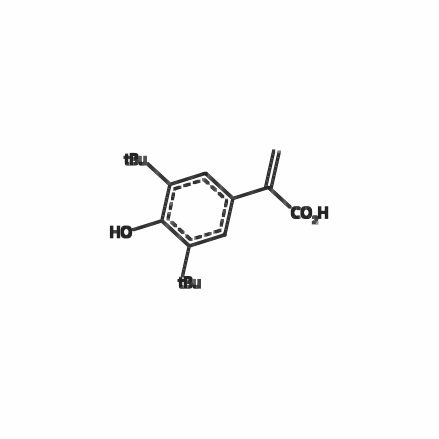 C=C(C(=O)O)c1cc(C(C)(C)C)c(O)c(C(C)(C)C)c1